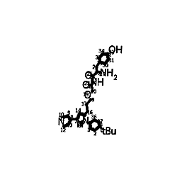 CC(C)(C)c1ccc(-n2nc(-c3ccncc3)cc2CCCOCC(=O)NC(=O)C(N)Cc2ccc(O)cc2)cc1